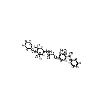 CC1(C)CC(NC(=O)COc2ccc(C(=O)c3ccccc3)c(O)c2)CC(C)(C)N1OC1CCCCC1